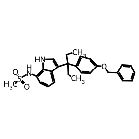 CCC(CC)(c1ccc(OCc2ccccc2)cc1)c1c[nH]c2c(NS(C)(=O)=O)cccc12